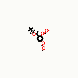 COCOc1ccc(C(C)O[Si](C)(C)C(C)(C)C)c(OCOC)c1